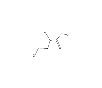 O=C(CCl)C(Cl)CCCl